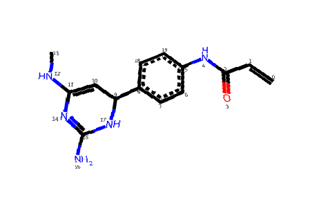 C=CC(=O)Nc1ccc(C2C=C(NC)N=C(N)N2)cc1